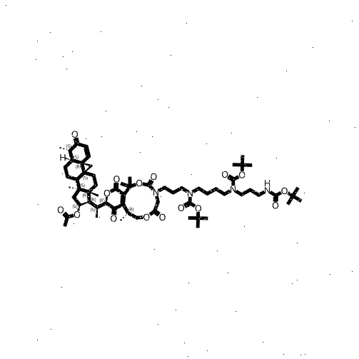 CC(=O)O[C@H]1C[C@@]2(C)C3CC[C@H]4[C@H](C)C(=O)C=C[C@@]45C[C@@]35CC[C@]2(C)[C@H]1[C@H](C)[C@H]1OC(=O)C2=C(C1=O)[C@@H](C)COC(=O)CN(CCCN(CCCCN(CCCNC(=O)OC(C)(C)C)C(=O)OC(C)(C)C)C(=O)OC(C)(C)C)C(=O)OC2(C)C